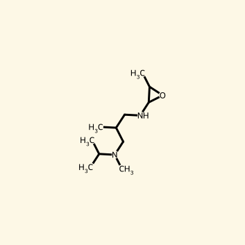 CC(CNC1OC1C)CN(C)C(C)C